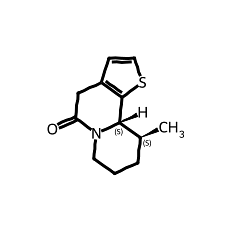 C[C@H]1CCCN2C(=O)Cc3ccsc3[C@H]12